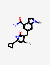 Cc1cc(C2CCC2)[nH]c(=O)c1Cc1cc(C(N)=O)c2ccn(C(C)C)c2c1